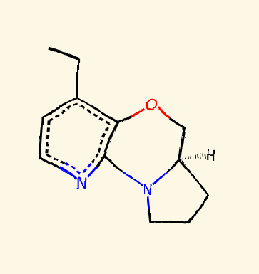 CCc1ccnc2c1OC[C@H]1CCCN21